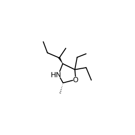 CCC(C)[C@@H]1N[C@@H](C)OC1(CC)CC